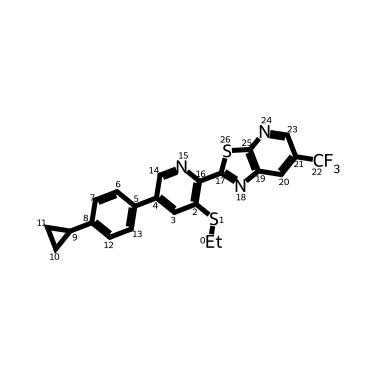 CCSc1cc(-c2ccc(C3CC3)cc2)cnc1-c1nc2cc(C(F)(F)F)cnc2s1